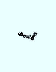 Cc1nnc(-c2cc3c(OC[C@@H](O)CN4CCC(c5ccc6c(c5)CCS6)CC4)cccc3o2)o1